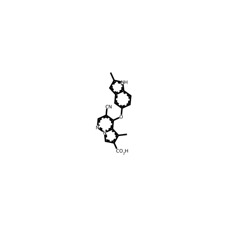 Cc1cc2cc(Oc3c(C#N)cnn4cc(C(=O)O)c(C)c34)ccc2[nH]1